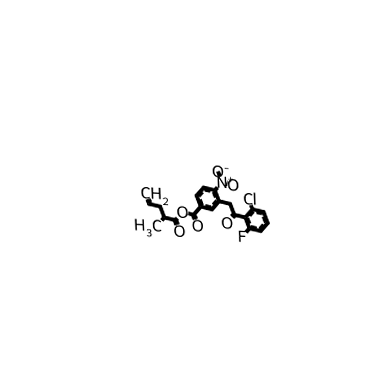 C=CCC(C)C(=O)OC(=O)c1ccc([N+](=O)[O-])c(CC(=O)c2c(F)cccc2Cl)c1